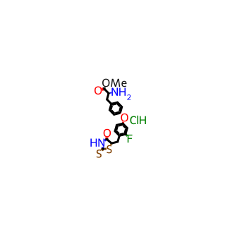 COC(=O)[C@@H](N)Cc1ccc(Oc2ccc(CC3SC(=S)NC3=O)c(F)c2)cc1.Cl